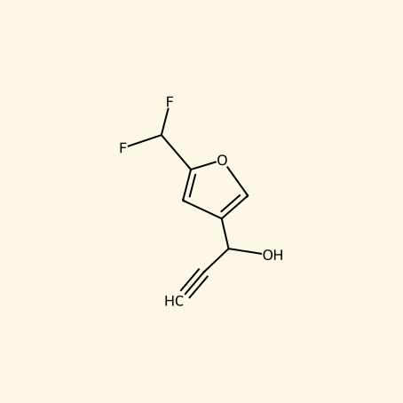 C#CC(O)c1coc(C(F)F)c1